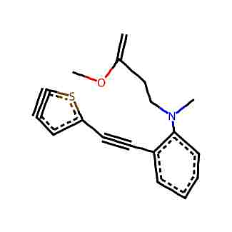 C=C(CCN(C)c1ccccc1C#Cc1cc#cs1)OC